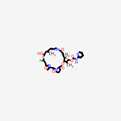 CC1=C\C(O)CC(F)Cc2nc(co2)C(=O)N2CCCC2C(=O)OC(C(C)COC(=O)Nc2ccccn2)C(C)/C=C/C(=O)NC\C=C\1